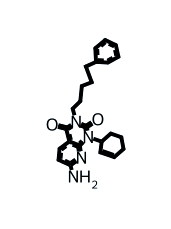 Nc1ccc2c(=O)n(CCCCCc3ccccc3)c(=O)n(C3C=CCCC3)c2n1